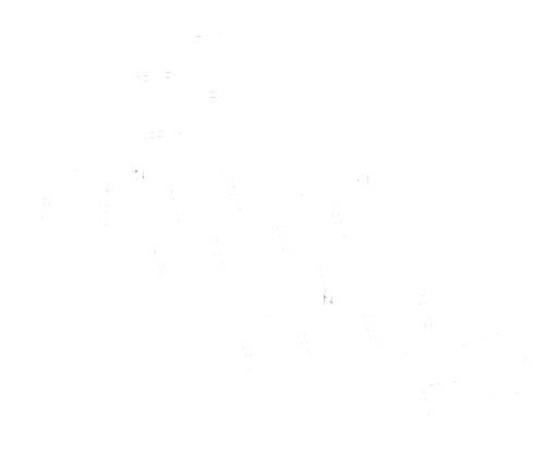 CC1(C)c2ccccc2-c2ccc(N(c3ccccc3)c3cc(Cl)cc(-c4cc5c6c7ccccc7ccc6n(-c6ccccc6)c5c5ccccc45)c3)cc21